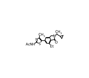 CCc1cc(-c2sc(NC(C)=O)nc2C)cc2c1C(=O)N([C@@H](C)C1CC1)C2